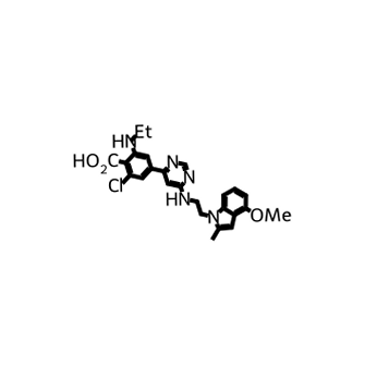 CCNc1cc(-c2cc(NCCn3c(C)cc4c(OC)cccc43)ncn2)cc(Cl)c1C(=O)O